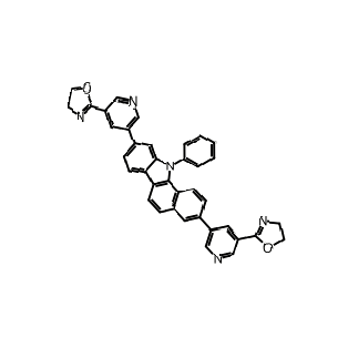 c1ccc(-n2c3cc(-c4cncc(C5=NCCO5)c4)ccc3c3ccc4cc(-c5cncc(C6=NCCO6)c5)ccc4c32)cc1